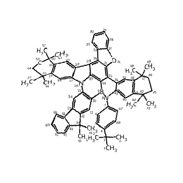 CC(C)(C)c1ccc(N2B3c4cc5c(cc4-n4c6cc7c(cc6c6c8c(oc9ccccc98)c(c3c64)-c3cc4c(cc32)C(C)(C)CCC4(C)C)C(C)(C)CCC7(C)C)-c2ccccc2C5(C)C)cc1